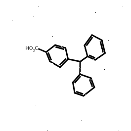 O=C(O)c1ccc([C](c2ccccc2)c2ccccc2)cc1